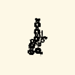 C=CC(=O)Nc1cc(Nc2cc(N3OCCC3c3cc(F)cc(F)c3)ncn2)c(OC)cc1N1CCC(N2CCN(C(C)C)CC2)CC1